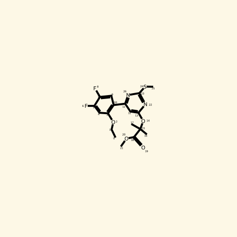 CCOc1cc(F)c(F)cc1-c1cc(OC(C)(C)C(=O)OC)nc(SC)n1